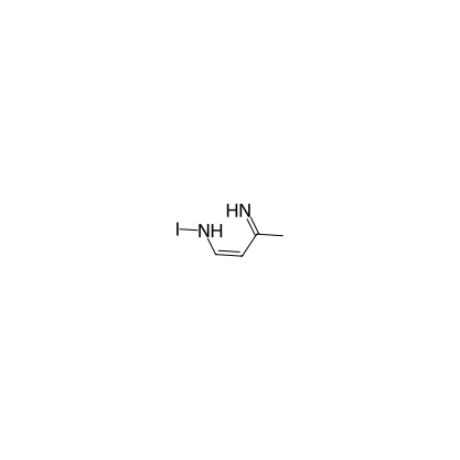 CC(=N)/C=C\NI